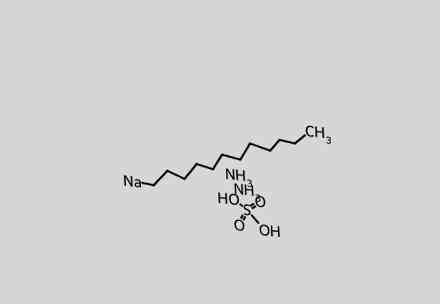 CCCCCCCCCCC[CH2][Na].N.N.O=S(=O)(O)O